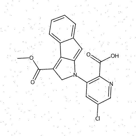 COC(=O)C1=C2C(=Cc3ccccc32)N(c2cc(Cl)cnc2C(=O)O)C1